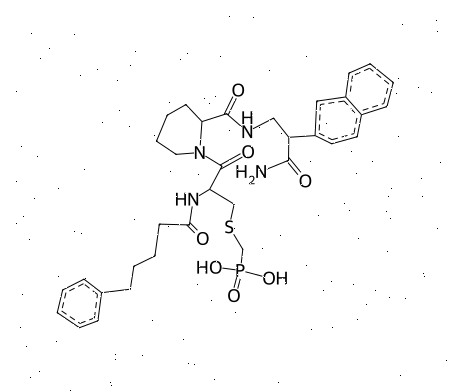 NC(=O)C(CNC(=O)C1CCCCN1C(=O)C(CSCP(=O)(O)O)NC(=O)CCCCc1ccccc1)c1ccc2ccccc2c1